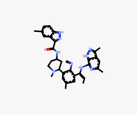 C=Nc1c(/C(=C\C)Nc2nc(C)cc3c(C)n[nH]c23)cc(C)cc1C1CC(NC(=O)c2n[nH]c3ccc(C)cc23)CCN1C